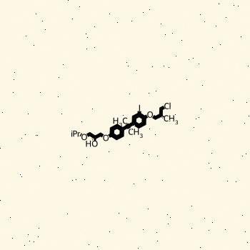 CC(C)OC[C@H](O)COc1ccc(C(C)(C)c2ccc(OC[C@@H](C)CCl)c(I)c2)cc1